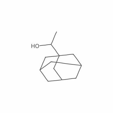 CC(O)C12CC3CC(CC(C3)C1)C2